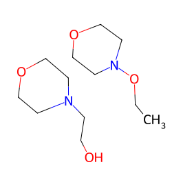 CCON1CCOCC1.OCCN1CCOCC1